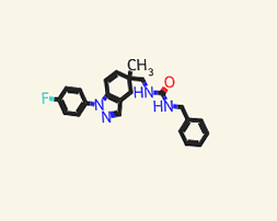 CC1(CNC(=O)NCc2ccccc2)C=Cc2c(cnn2-c2ccc(F)cc2)C1